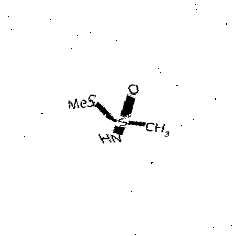 CSS(C)(=N)=O